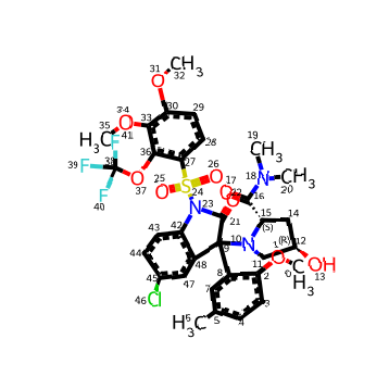 COc1ccc(C)cc1C1(N2C[C@H](O)C[C@H]2C(=O)N(C)C)C(=O)N(S(=O)(=O)c2ccc(OC)c(OC)c2OC(F)(F)F)c2ccc(Cl)cc21